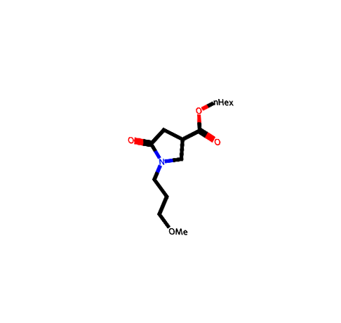 CCCCCCOC(=O)C1CC(=O)N(CCCOC)C1